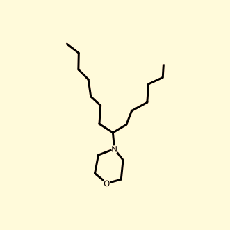 CCCCCCCC(CCCCCC)N1CCOCC1